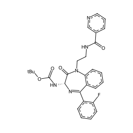 CC(C)(C)OC(=O)N[C@H]1N=C(c2ccccc2F)c2ccccc2N(CCNC(=O)c2cccnc2)C1=O